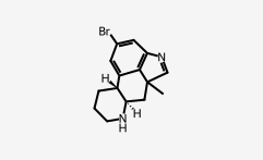 CC12C=Nc3cc(Br)cc(c31)[C@H]1CCCN[C@@H]1C2